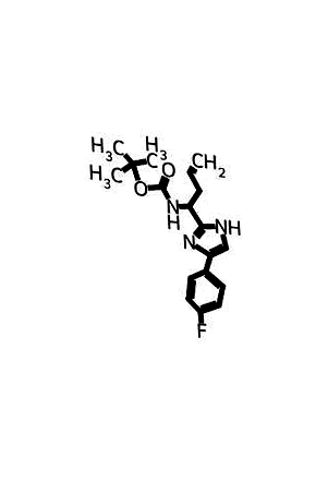 C=CCC(NC(=O)OC(C)(C)C)c1nc(-c2ccc(F)cc2)c[nH]1